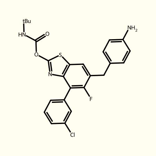 CC(C)(C)NC(=O)Oc1nc2c(-c3cccc(Cl)c3)c(F)c(Cc3ccc(N)cc3)cc2s1